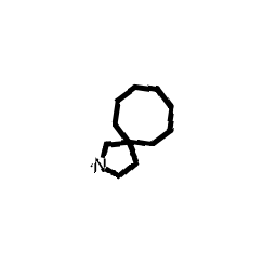 C1CCCC2(CCC1)CC[N]C2